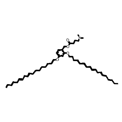 CCCCCC=CCC=CCCCCCCCCOc1ccc(COC(=O)CCCN(C)C)c(OCCCCCCCCC=CCC=CCCCCC)c1